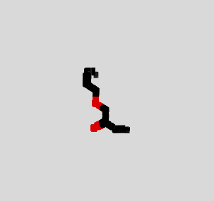 C=CCOCC(=O)OC